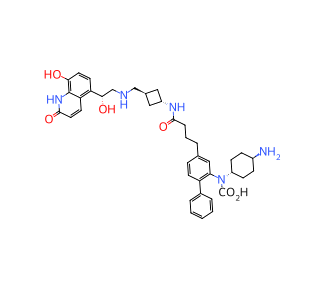 N[C@H]1CC[C@H](N(C(=O)O)c2cc(CCCC(=O)N[C@H]3C[C@H](CNC[C@H](O)c4ccc(O)c5[nH]c(=O)ccc45)C3)ccc2-c2ccccc2)CC1